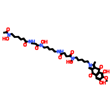 COc1c(O)cc2c(c1O)C(=O)c1c(cn(CCCCCN(O)C(=O)CCC(=O)NCCCCCN(O)C(=O)CCNC(=O)CCCCCN(O)C(C)=O)c1C)C2=O